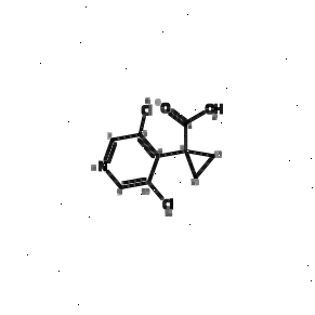 O=C(O)C1(c2c(Cl)cncc2Cl)CC1